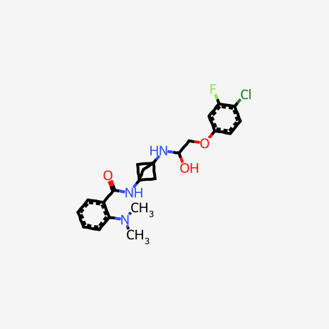 CN(C)c1ccccc1C(=O)NC12CC(NC(O)COc3ccc(Cl)c(F)c3)(C1)C2